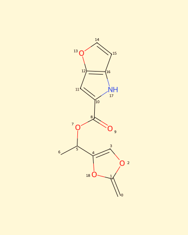 C=C1OC=C(C(C)OC(=O)c2cc3occc3[nH]2)O1